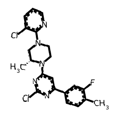 Cc1ccc(-c2cc(N3CCN(c4ncccc4Cl)C[C@H]3C)nc(Cl)n2)cc1F